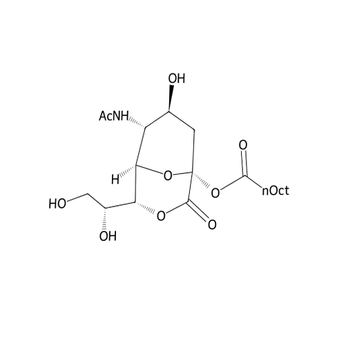 CCCCCCCCC(=O)O[C@@]12C[C@H](O)[C@@H](NC(C)=O)[C@@H](O1)[C@@H]([C@H](O)CO)OC2=O